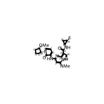 CNc1cc(Nc2cccn([C@@H]3CCC[C@@H]3OC)c2=O)nc2c(C(=O)N[C@@H]3C[C@@H]3F)cnn12